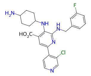 NC1CCC(Nc2c(C(=O)O)cc(-c3ccncc3Cl)nc2NCc2cccc(F)c2)CC1